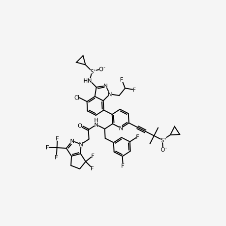 CC(C)(C#Cc1ccc(-c2ccc(Cl)c3c(N[S+]([O-])C4CC4)nn(CC(F)F)c23)c(C(Cc2cc(F)cc(F)c2)NC(=O)Cn2nc(C(F)(F)F)c3c2C(F)(F)CC3)n1)[S+]([O-])C1CC1